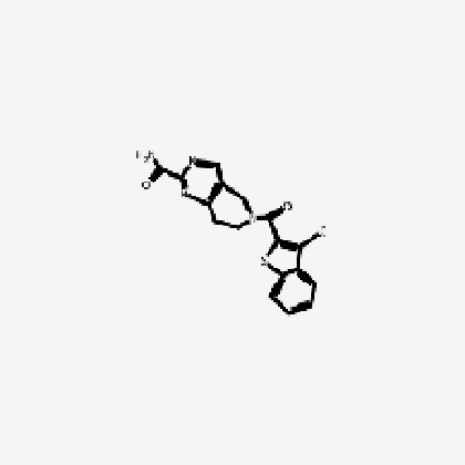 NC(=O)c1ncc2c(n1)CCN(C(=O)c1sc3ccccc3c1Cl)C2